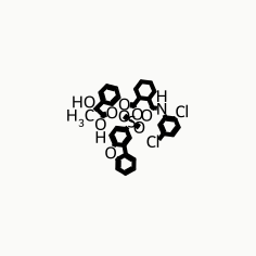 CC(O)(C(=O)O)c1ccccc1.O=C(Nc1cc(Cl)ccc1Cl)C1CCCCC1C(=O)OS(=O)(=O)c1ccc2oc3ccccc3c2c1